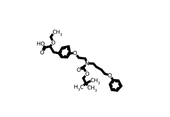 CCOC(Cc1ccc(OCCN(CCCCOc2ccccc2)C(=O)OCC(C)(C)C)cc1)C(=O)O